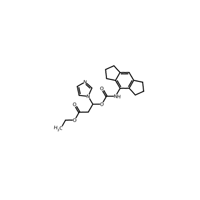 CCOC(=O)CC(OC(=O)Nc1c2c(cc3c1CCC3)CCC2)n1ccnc1